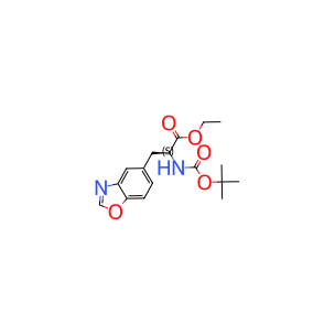 CCOC(=O)[C@H](Cc1ccc2ocnc2c1)NC(=O)OC(C)(C)C